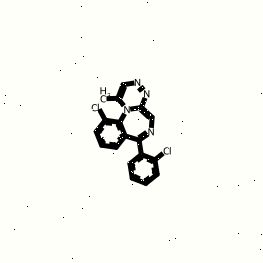 CC1=CN=NC2=CN=C(c3ccccc3Cl)c3cccc(Cl)c3N12